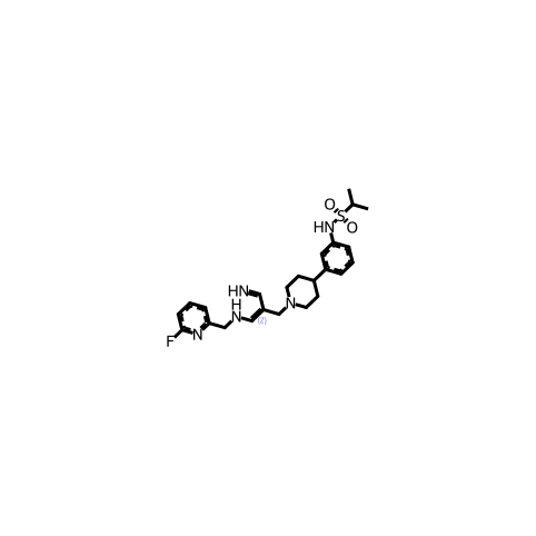 CC(C)S(=O)(=O)Nc1cccc(C2CCN(C/C(C=N)=C/NCc3cccc(F)n3)CC2)c1